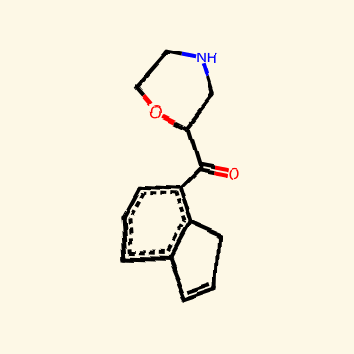 O=C(c1cccc2c1CC=C2)C1CNCCO1